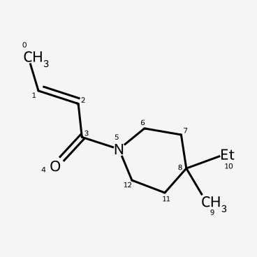 CC=CC(=O)N1CCC(C)(CC)CC1